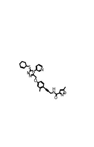 Cc1cc(C(=O)NCC#Cc2ccc(OCc3nnc(SC4C=CCCC4)n3-c3cccnc3)cc2C)no1